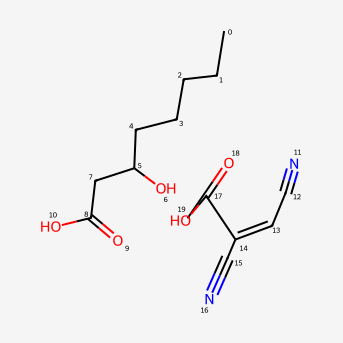 CCCCCC(O)CC(=O)O.N#CC=C(C#N)C(=O)O